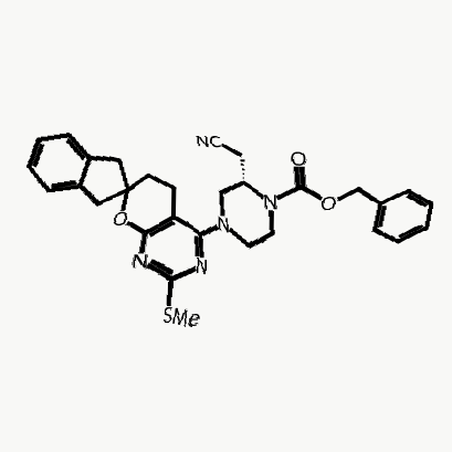 CSc1nc2c(c(N3CCN(C(=O)OCc4ccccc4)[C@@H](CC#N)C3)n1)CCC1(Cc3ccccc3C1)O2